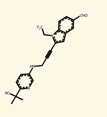 CC(C)(C#N)c1ccc(NCC#Cc2cc3cc(C=O)ccc3n2CC(F)(F)F)cn1